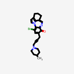 CC1CCN(CC#CCc2cc(Br)c3n4ccc5c4c(cnc-3c2=O)CCC5)CC1